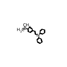 CB(C)c1ccc(C=CN(c2ccccc2)c2ccccc2)cc1